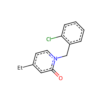 CCc1ccn(Cc2ccccc2Cl)c(=O)c1